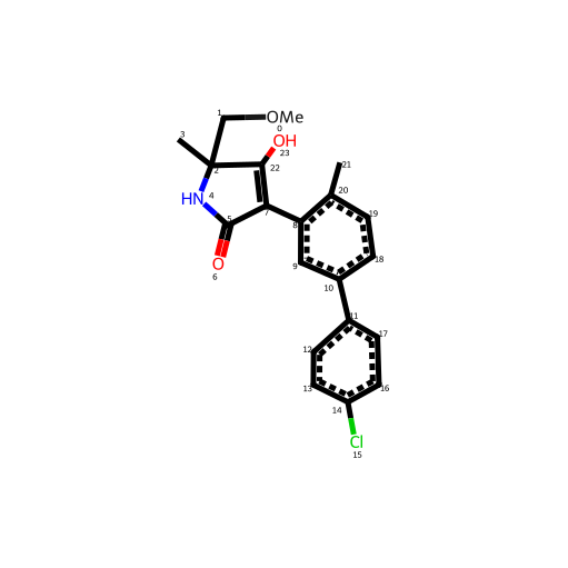 COCC1(C)NC(=O)C(c2cc(-c3ccc(Cl)cc3)ccc2C)=C1O